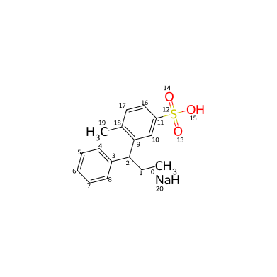 CCC(c1ccccc1)c1cc(S(=O)(=O)O)ccc1C.[NaH]